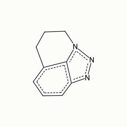 c1cc2c3c(c1)nnn3CCC2